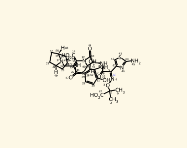 CC(C)(O/N=C(\C(=O)N[C@@H]1C(=O)N2C(C(=O)O)=C(C[N+]3(C)[C@@H]4CC[C@H]3C[C@@H](NC(=O)c3ccc(O)c(O)c3O)C4)CS[C@H]12)c1csc(N)n1)C(=O)O